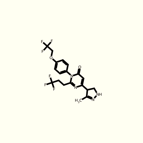 CC1=NNCC1c1cc(=O)n(-c2ccc(OCC(F)(F)F)cc2)c(CCC(F)(F)F)n1